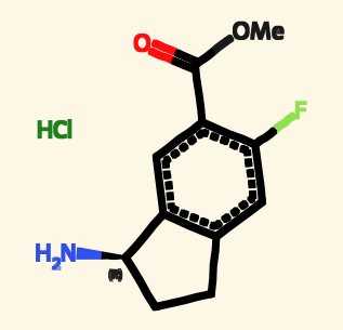 COC(=O)c1cc2c(cc1F)CC[C@H]2N.Cl